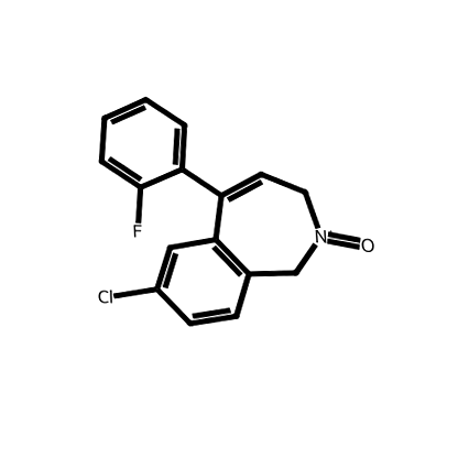 O=[N+]1CC=C(c2ccccc2F)c2cc(Cl)ccc2C1